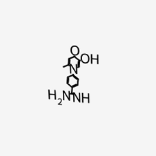 Cc1cc(=O)c(O)cn1-c1ccc(C(=N)N)cc1